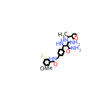 COc1ccc(F)cc1C(=O)NCc1ccc(C(=N)/C(C(N)=O)=C(/N)NC(C)C2CCOC2)cc1